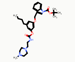 CCCCc1cc(OCc2cn(C(=O)OC(C)(C)C)c3ccccc23)cc(OC(=O)NCCN2CCN(C)CC2)c1